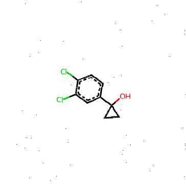 OC1(c2ccc(Cl)c(Cl)c2)CC1